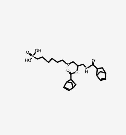 O=C(OC(CPC(=O)C1CC2C=CC1C2)CSCCCCCCP(=O)(O)O)C1CC2C=CC1C2